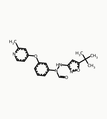 Cc1cc(Oc2cccc(N(C=O)Nc3cc(C(C)(C)C)on3)c2)ccn1